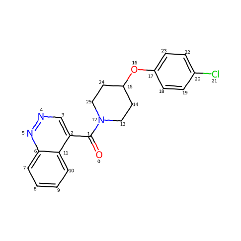 O=C(c1cnnc2ccccc12)N1CCC(Oc2ccc(Cl)cc2)CC1